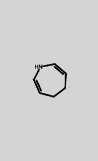 [C]1=CCCC=CN1